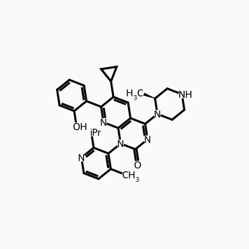 Cc1ccnc(C(C)C)c1-n1c(=O)nc(N2CCNC[C@@H]2C)c2cc(C3CC3)c(-c3ccccc3O)nc21